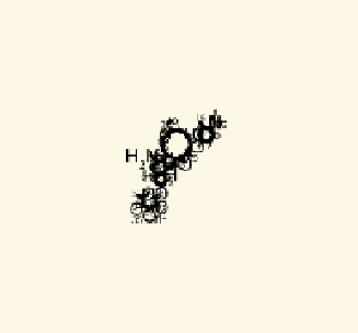 CC[C@H]1CCC[C@H](O[C@H]2CC[C@H](N(C)C)C(C)O2)[C@@H](C)C(=O)C2=C[C@H]3[C@@H]4C[C@H](O[C@@H]5OC(C)[C@H](OC)[C@@H](OC)C5OC)C[C@H]4CC(N)[C@H]3[C@@H]2CCO1